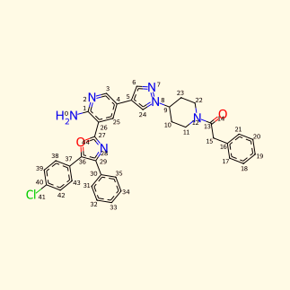 Nc1ncc(-c2cnn(C3CCN(C(=O)Cc4ccccc4)CC3)c2)cc1-c1nc(-c2ccccc2)c(-c2ccc(Cl)cc2)o1